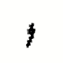 C=CCCC=CC1=C2CC(=CC)C(C1)C2